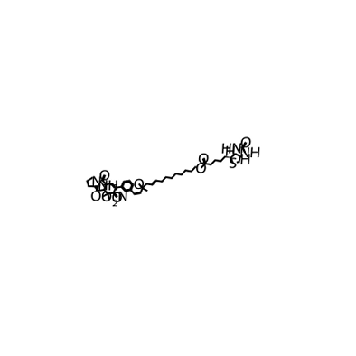 CC1(C/C=C/CCCCCCCCOC(=O)CCCC[C@@H]2SC[C@@H]3NC(=O)N[C@@H]32)C=Cc2c(ccc(C3=CC45NC(=O)C6(CCCN6C4=O)CC5C(C)(C)C3=O)c2[N+](=O)[O-])O1